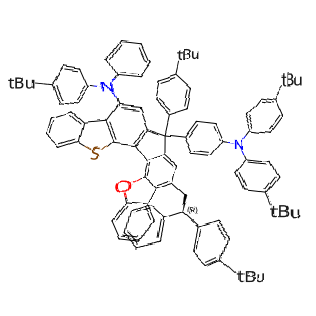 CC(C)(C)c1ccc([C@H](Cc2cc3c(c4oc5ccccc5c24)-c2c(cc(N(c4ccccc4)c4ccc(C(C)(C)C)cc4)c4c2sc2ccccc24)C3(c2ccc(N(c3ccc(C(C)(C)C)cc3)c3ccc(C(C)(C)C)cc3)cc2)c2ccc(C(C)(C)C)cc2)c2ccccc2)cc1